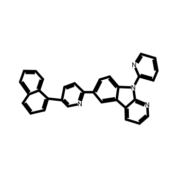 c1ccc(-n2c3ccc(-c4ccc(-c5cccc6ccccc56)cn4)cc3c3cccnc32)nc1